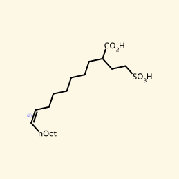 CCCCCCCC/C=C\CCCCCCC(CCS(=O)(=O)O)C(=O)O